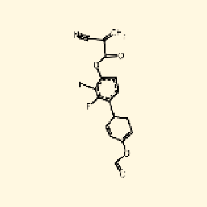 C=C(C#N)C(=O)Oc1ccc(C2C=CC(OC=O)=CC2)c(F)c1F